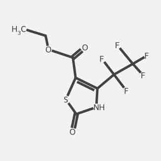 CCOC(=O)c1sc(=O)[nH]c1C(F)(F)C(F)(F)F